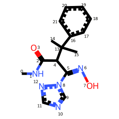 CNC(=O)C(C(=NO)n1cncn1)C(C)(C)c1ccccc1